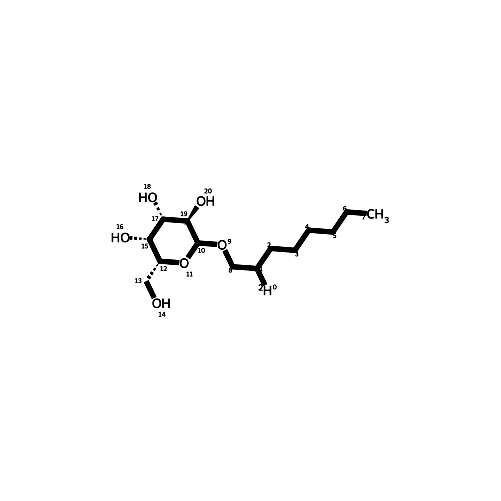 [2H]C(CCCCCC)COC1O[C@H](CO)[C@H](O)[C@H](O)[C@H]1O